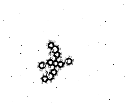 CN1c2ccccc2C=Cc2ccc(-c3c4ccc(N5CCCCC5)cc4c(-c4ccc5c(c4)N(C)c4ccccc4C=C5)c4ccc(N5CCCCC5)cc34)cc21